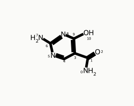 NC(=O)c1cnc(N)nc1O